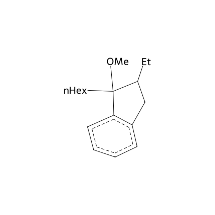 CCCCCCC1(OC)c2ccccc2CC1CC